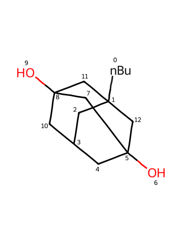 CCCCC12CC3CC(O)(CC(O)(C3)C1)C2